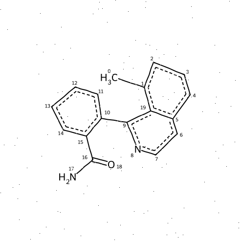 Cc1cccc2ccnc(-c3ccccc3C(N)=O)c12